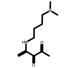 C=C(NCCCCN(C)C)C(=O)C(C)=O